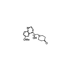 COc1ccc2nccc([C@H](O)CN3CCC(=O)CC3)c2c1